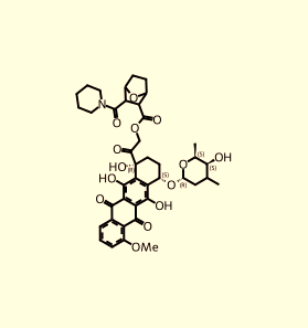 COc1cccc2c1C(=O)c1c(O)c3c(c(O)c1C2=O)[C@@](O)(C(=O)COC(=O)C1C2CCC(O2)C1C(=O)N1CCCCC1)CC[C@@H]3O[C@H]1CC(C)[C@H](O)[C@H](C)O1